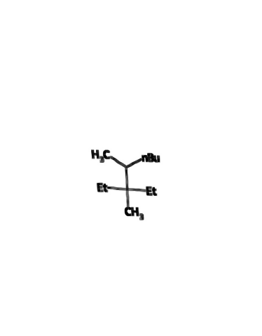 CCCCC(C)C(C)(CC)CC